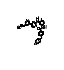 CCOCc1cncc(-c2ccnc(Nc3cc(NC(=O)c4ccc(CN5CCN(C)CC5)cc4)ccc3C)n2)c1